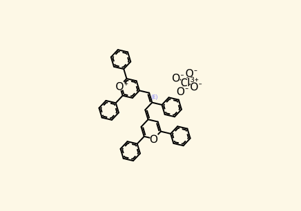 C(=C1C=C(c2ccccc2)OC(c2ccccc2)=C1)/C(=C\c1cc(-c2ccccc2)[o+]c(-c2ccccc2)c1)c1ccccc1.[O-][Cl+3]([O-])([O-])[O-]